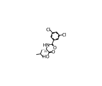 CC(C)C[C@H](NC(=O)c1cc(Cl)cc(Cl)c1)C(=O)O